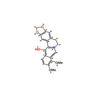 COc1ccc2c(O)c3[n+](cc2c1OC)CCc1cc2c(cc1-3)OCO2